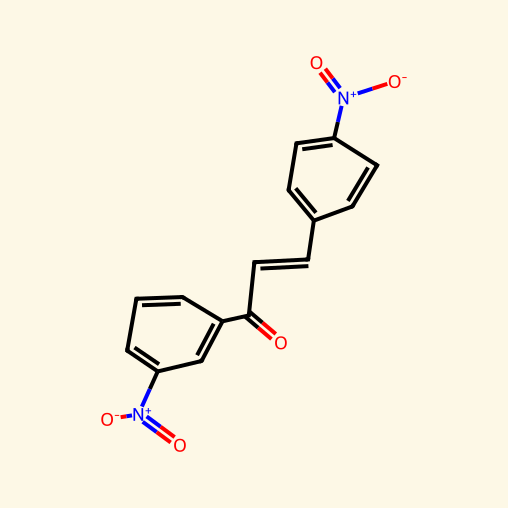 O=C(/C=C/c1ccc([N+](=O)[O-])cc1)c1cccc([N+](=O)[O-])c1